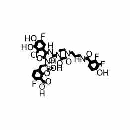 O=C(NCCCN1CCN(C(=O)NC(C(=O)N[C@H]2Cc3ccc(F)c(C(=O)O)c3OB2O)c2cc(F)c(O)c(O)c2Cl)C(=O)C1=O)c1ccc(O)c(F)c1F